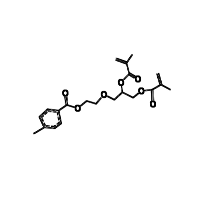 C=C(C)C(=O)OCC(COCCOC(=O)c1ccc(C)cc1)OC(=O)C(=C)C